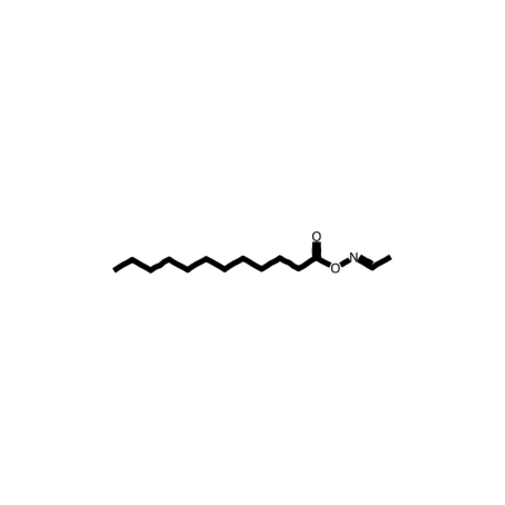 C/C=N/OC(=O)CCCCCCCCCCC